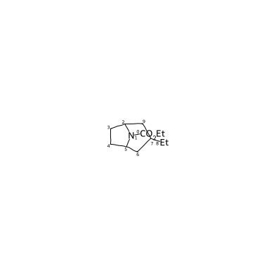 CCOC(=O)N1C2CCC1CC(CC)C2